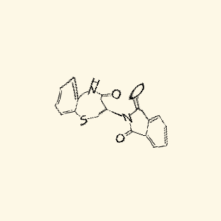 O=C1Nc2ccccc2SC[C@@H]1N1C(=O)c2ccccc2C1=O